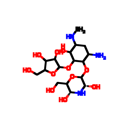 BNC1CC(N)C(OC2OC(CO)[C@@H](O)N[C@H]2O)C(OC2OC(CO)C(O)C2O)C1O